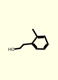 Cc1c[c]ccc1CCO